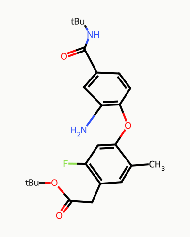 Cc1cc(CC(=O)OC(C)(C)C)c(F)cc1Oc1ccc(C(=O)NC(C)(C)C)cc1N